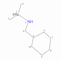 C[SiH](C)NCC1CCCCC1